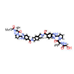 COC(=O)N[C@@H](C(=O)N1CCCC1c1nc2ccc(C(=O)N3Cc4cc5c(cc4C3)CN(C(=O)c3ccc4nc(C6CCCN6C(=O)[C@@H](NC(=O)CO)C(C)C)[nH]c4c3)C5)cc2[nH]1)C(C)C